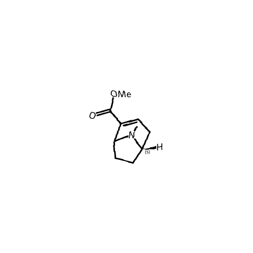 COC(=O)C1=CC[C@@H]2CCC1N2C